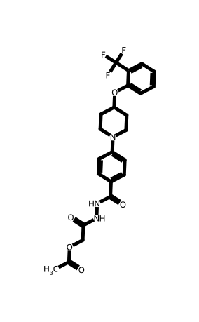 CC(=O)OCC(=O)NNC(=O)c1ccc(N2CCC(Oc3ccccc3C(F)(F)F)CC2)cc1